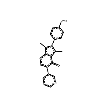 COc1ccc(-n2c(C)c3cnn(-c4cccnc4)c(=O)c3c2C)cc1